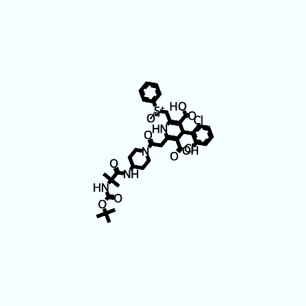 CC(C)(C)OC(=O)NC(C)(C)C(=O)NC1CCN(C(=O)CC2=C(C(=O)O)C(c3c(Cl)cccc3Cl)C(C(=O)O)=C(C[S@+]([O-])c3ccccc3)N2)CC1